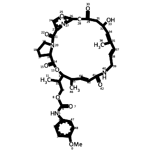 COc1ccc(NC(=O)OCC(C)C2OC(=O)C3CCCN3C(=O)c3coc(n3)CC(=O)CC(O)/C=C(C)/C=C/CNC(=O)/C=C/C2C)cc1